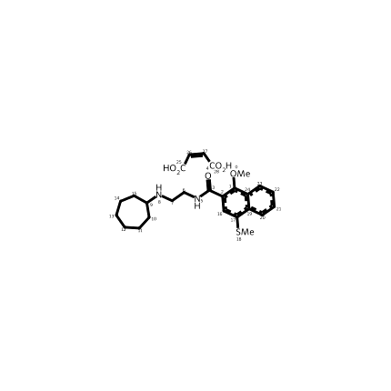 COc1c(C(=O)NCCNC2CCCCCC2)cc(SC)c2ccccc12.O=C(O)/C=C\C(=O)O